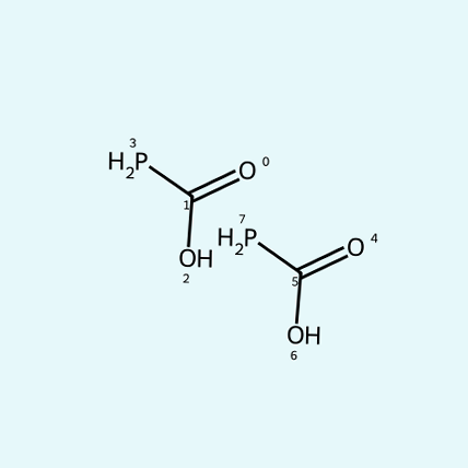 O=C(O)P.O=C(O)P